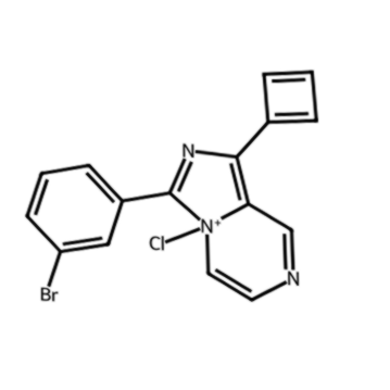 Cl[N+]12C=CN=CC1=C(C1=CC=C1)N=C2c1cccc(Br)c1